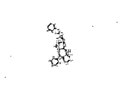 CC(C)(Cc1ccccc1)c1nnc(NC2N=C(c3ccccc3)c3ccccc3NC2=O)o1